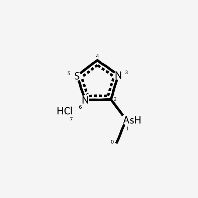 C[AsH]c1ncsn1.Cl